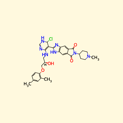 Cc1ccc(OC[C@H](O)CNC2=C(c3nc4cc5c(cc4[nH]3)C(=O)N(C3CCN(C)CC3)C5=O)C(Cl)NC=N2)c(C)c1